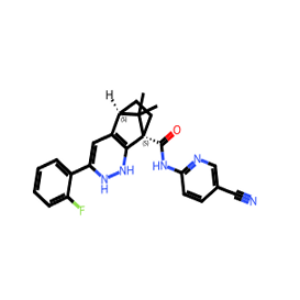 CC1(C)[C@@H]2CC[C@@]1(C(=O)Nc1ccc(C#N)cn1)C1=C2C=C(c2ccccc2F)NN1